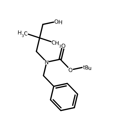 CC(C)(CO)CN(Cc1ccccc1)C(=O)OC(C)(C)C